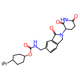 CC(C)C1CCC(OC(=O)NCc2ccc3c(c2)C(=O)N(C2CCC(=O)NC2=O)C3)CC1